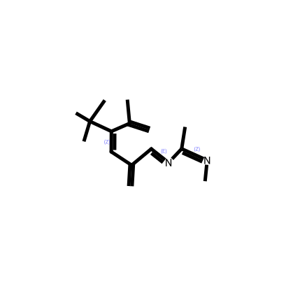 C=C(/C=C(\C(=C)C)C(C)(C)C)/C=N/C(C)=N\C